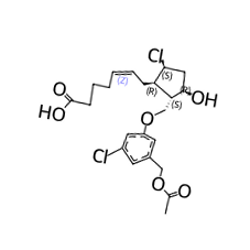 CC(=O)OCc1cc(Cl)cc(OC[C@@H]2[C@@H](C/C=C\CCCC(=O)O)[C@@H](Cl)C[C@H]2O)c1